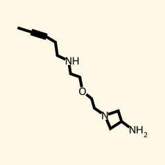 CC#CCCNCCOCCN1CC(N)C1